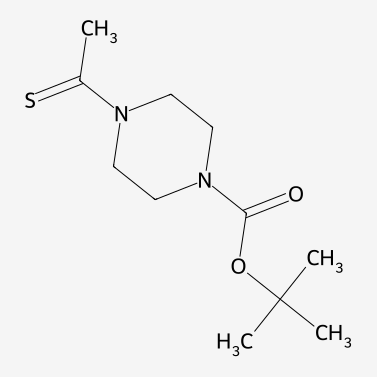 CC(=S)N1CCN(C(=O)OC(C)(C)C)CC1